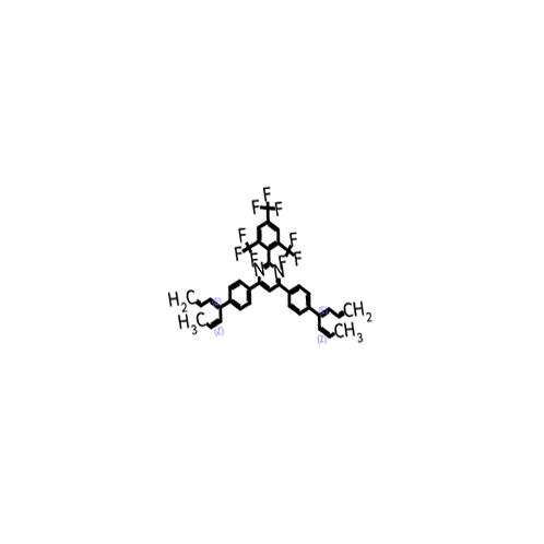 C=C/C=C(\C=C/C)c1ccc(-c2cc(-c3ccc(C(/C=C\C)=C/C=C)cc3)nc(-c3c(C(F)(F)F)cc(C(F)(F)F)cc3C(F)(F)F)n2)cc1